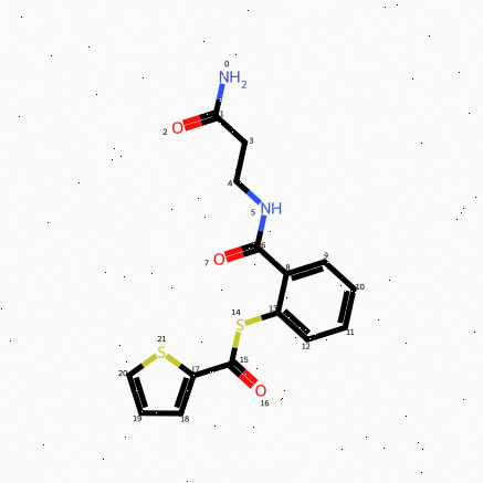 NC(=O)CCNC(=O)c1ccccc1SC(=O)c1cccs1